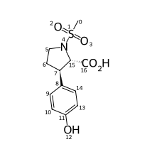 CS(=O)(=O)N1CC[C@H](c2ccc(O)cc2)[C@H]1C(=O)O